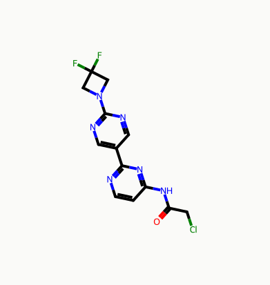 O=C(CCl)Nc1ccnc(-c2cnc(N3CC(F)(F)C3)nc2)n1